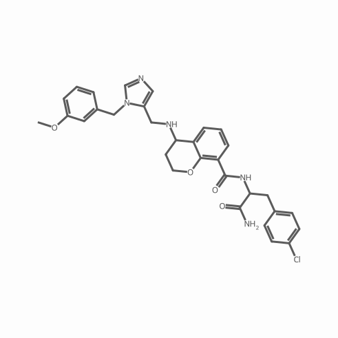 COc1cccc(Cn2cncc2CNC2CCOc3c(C(=O)NC(Cc4ccc(Cl)cc4)C(N)=O)cccc32)c1